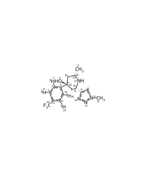 [2H]c1c([2H])c([C@@]2(O)C[C@@H](c3cn(C)nn3)N[C@@H](C)C2)c([2H])c([2H])c1C(F)(F)F